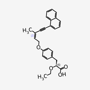 CCO[C@@H](Cc1ccc(OC/C=C(/C)C#Cc2cccc3ccccc23)cc1)C(=O)O